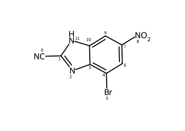 N#Cc1nc2c(Br)cc([N+](=O)[O-])cc2[nH]1